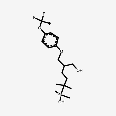 CC(C)(CCC(CO)COc1ccc(OC(F)(F)F)cc1)[Si](C)(C)O